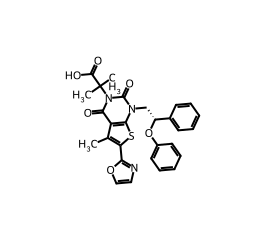 Cc1c(-c2ncco2)sc2c1c(=O)n(C(C)(C)C(=O)O)c(=O)n2C[C@@H](Oc1ccccc1)c1ccccc1